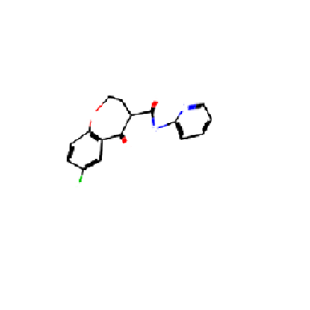 O=C(Nc1ccccn1)C1CCOc2ccc(Cl)cc2C1=O